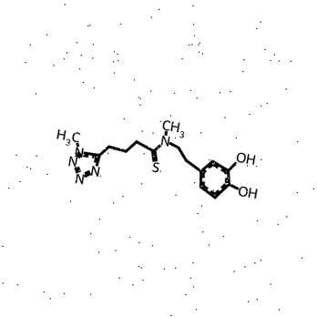 CN(CCc1ccc(O)c(O)c1)C(=S)CCCc1nnnn1C